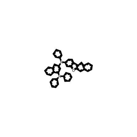 c1ccc(N(c2cc(N(c3ccccc3)c3ccccc3)c3ccccc3c2)c2ccc3c(c2)oc2cc4ccccc4cc23)cc1